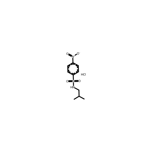 CC(C)CNS(=O)(=O)c1ccc([N+](=O)[O-])cc1.Cl